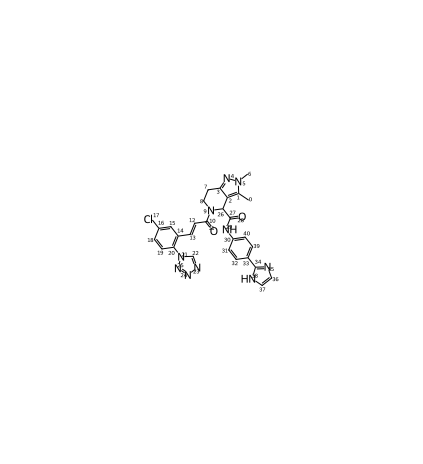 Cc1c2c(nn1C)CCN(C(=O)C=Cc1cc(Cl)ccc1-n1cnnn1)C2C(=O)Nc1ccc(-c2ncc[nH]2)cc1